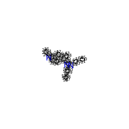 c1ccc(-c2ccc(-c3cc(-c4ccc(-c5cccc(-c6cc(-c7ccccc7)nc7ccc8ccccc8c67)c5)c5ccccc45)nc(-c4ccc(-c5ccccc5)cc4)n3)cc2)cc1